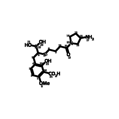 COc1ccc(CC(SCCCC(=O)N2CCC(N)C2)B(O)O)c(O)c1C(=O)O